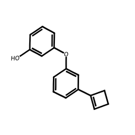 Oc1cccc(Oc2cccc(C3=CCC3)c2)c1